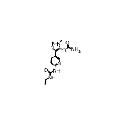 CCNC(=O)Nc1ccc(-c2nnn(C)c2OC(N)=O)cn1